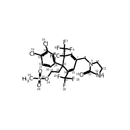 CC1(C(F)(F)F)C=C(CN2CCNC2=O)C=C(C(F)(F)F)C1(CCOS(C)(=O)=O)c1ccc(Cl)c(Cl)c1